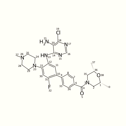 C[C@@H]1CN(C(=O)c2ccc(-c3cc(Nc4ncnc(Cl)c4N)c(N4CCN(C)CC4)cc3F)cc2)C[C@H](C)O1